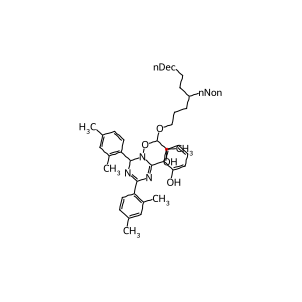 CCCCCCCCCCCCC(CCCCCCCCC)CCCOC(ON1C(c2ccccc2O)=NC(c2ccc(C)cc2C)=NC1c1ccc(C)cc1C)C(C)O